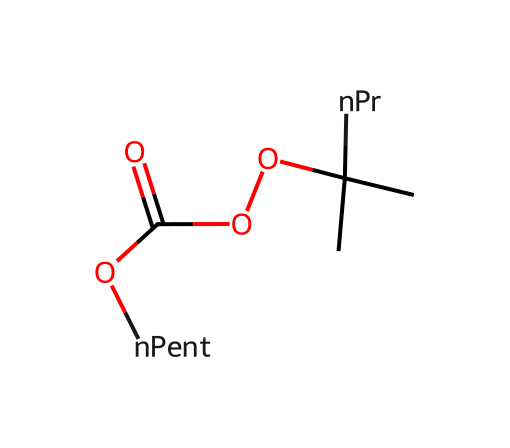 CCCCCOC(=O)OOC(C)(C)CCC